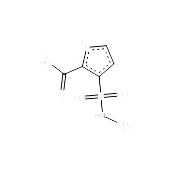 CNS(=O)(=O)c1ccsc1C(=O)O